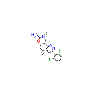 CCN(CC1CCC(C(C)C)c2cc(-c3c(F)cccc3F)nnc21)C(N)=O